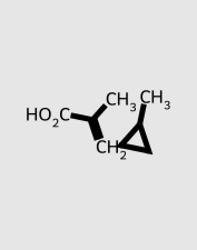 C=C(C)C(=O)O.CC1CC1